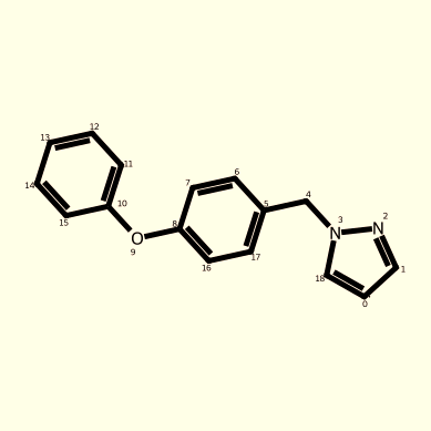 [c]1cnn(Cc2ccc(Oc3ccccc3)cc2)c1